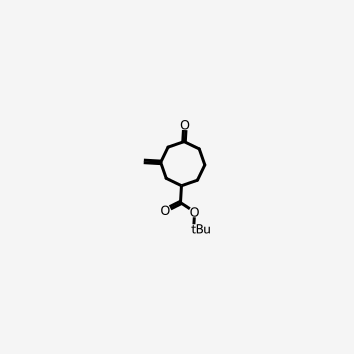 C=C1CC(=O)CCCC(C(=O)OC(C)(C)C)C1